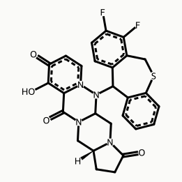 O=C1c2c(O)c(=O)ccn2N(C2c3ccccc3SCc3c2ccc(F)c3F)C2CN3C(=O)CC[C@@H]3CN12